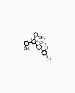 Cc1cccc(-c2cc(N3CCN(c4ncc(CO)cc4Cl)CC3C)nc(N3CCCC3C)n2)c1